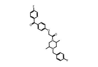 CC1CN(C(=O)COc2ccc(C(=O)c3ccc(F)cc3)cc2)C(C)CN1Cc1ccc(F)cc1